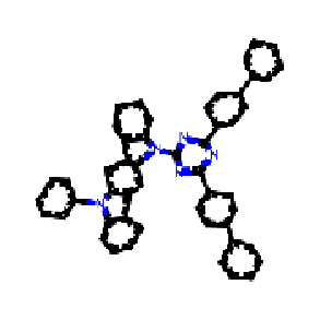 c1ccc(-c2ccc(-c3nc(-c4ccc(-c5ccccc5)cc4)nc(-n4c5ccccc5c5cc6c(cc54)c4ccccc4n6-c4ccccc4)n3)cc2)cc1